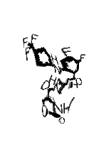 O=C1N[C@H](C(=O)NNC(=O)c2cc(F)c(F)cc2Nc2ccc(C(F)(F)F)cc2)CO1